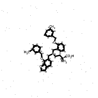 Cc1cccc(COc2ccccc2CN(CC[C@H](N)C(=O)O)Cc2ccc3ccoc3c2OCc2cccc(C)c2)c1